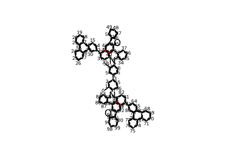 Cc1cc(-c2ccc(N(c3ccc(-c4ccc5c6ccccc6c6ccccc6c5c4)cc3)c3ccccc3-c3cccc4c3oc3ccccc34)c(C)c2)ccc1N(c1ccc(-c2ccc3c4ccccc4c4ccccc4c3c2)cc1)c1ccccc1-c1cccc2c1oc1ccccc12